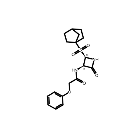 O=C(COc1ccccc1)N[C@@H]1C(=O)N[C@@H]1S(=O)(=O)C12CCC(CC1)C2